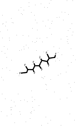 FCC(F)C(F)C(F)C(F)C(F)C(F)C(F)CF